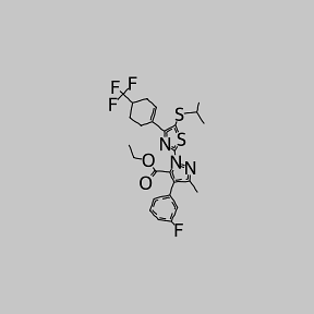 CCOC(=O)c1c(-c2cccc(F)c2)c(C)nn1-c1nc(C2=CCC(C(F)(F)F)CC2)c(SC(C)C)s1